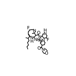 CCCCCC(C)/C1=C/CC(F)C/N=C(\C)C(C(=O)NC2CNCC(F)C2N2CCC(C(=O)N3CCOCC3)CC2)C(N)N1